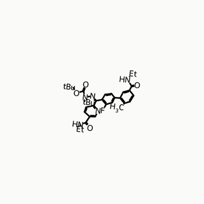 CCNC(=O)c1ccc(C(=NN(C(=O)OC(C)(C)C)C(C)(C)C)c2ccc(-c3cc(C(=O)NCC)ccc3C)cc2F)nc1